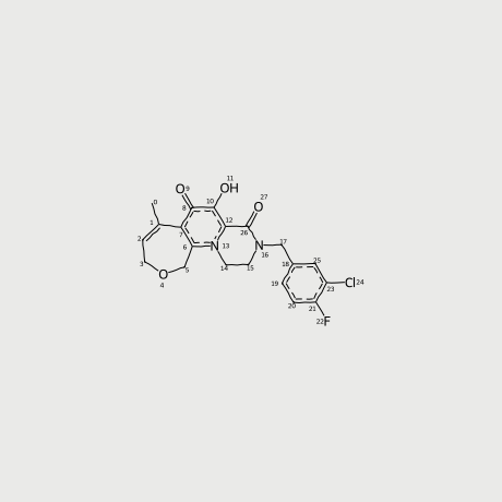 CC1=CCOCc2c1c(=O)c(O)c1n2CCN(Cc2ccc(F)c(Cl)c2)C1=O